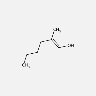 CCCCC(C)=CO